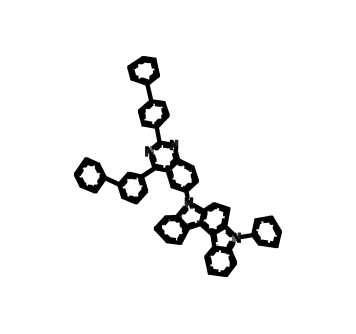 c1ccc(-c2ccc(-c3nc(-c4cccc(-c5ccccc5)c4)c4cc(-n5c6ccccc6c6c7c8ccccc8n(-c8ccccc8)c7ccc65)ccc4n3)cc2)cc1